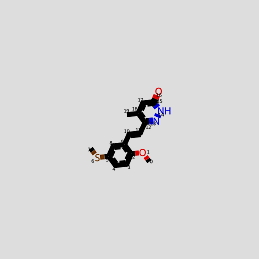 COc1ccc(SC)cc1C=Cc1n[nH]c(=O)cc1C